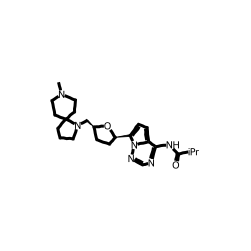 CC(C)C(=O)Nc1ncnn2c([C@H]3CC[C@@H](CN4CCCC45CCN(C)CC5)O3)ccc12